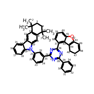 CC1(C)CCC(C)(C)c2cc3c(cc21)c1ccccc1n3-c1cccc(-c2nc(-c3ccccc3)nc(-c3cccc4oc5c(c34)CCC=C5)n2)c1